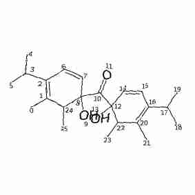 CC1=C(C(C)C)C=CC(O)(C(=O)C2(O)C=CC(C(C)C)=C(C)C2C)C1C